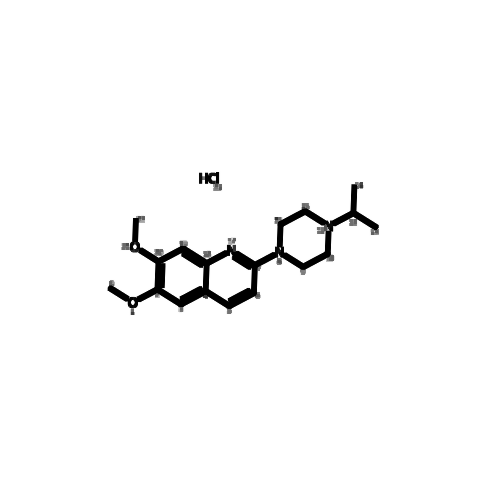 COc1cc2ccc(N3CCN(C(C)C)CC3)nc2cc1OC.Cl